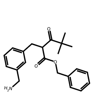 CC(C)(C)C(=O)C(Cc1cccc(CN)c1)C(=O)OCc1ccccc1